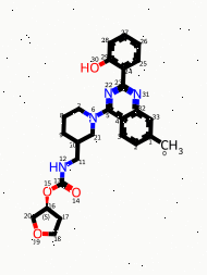 Cc1ccc2c(N3CCCC(CNC(=O)O[C@H]4CCOC4)C3)nc(-c3ccccc3O)nc2c1